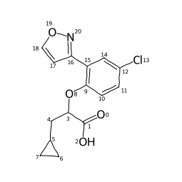 O=C(O)C(CC1CC1)Oc1ccc(Cl)cc1-c1ccon1